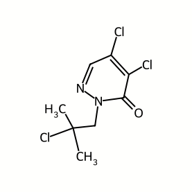 CC(C)(Cl)Cn1ncc(Cl)c(Cl)c1=O